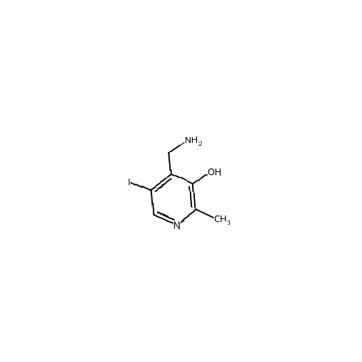 Cc1ncc(I)c(CN)c1O